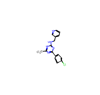 Clc1ccc(-c2nc(NCc3cccnc3)nc(C(Cl)(Cl)Cl)n2)cc1